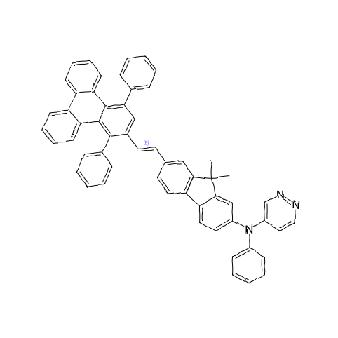 CC1(C)c2cc(/C=C/c3cc(-c4ccccc4)c4c5ccccc5c5ccccc5c4c3-c3ccccc3)ccc2-c2ccc(N(c3ccccc3)c3ccnnc3)cc21